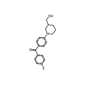 O=C(c1ccc(F)cc1)c1ccc(N2CCCC(CO)C2)cc1